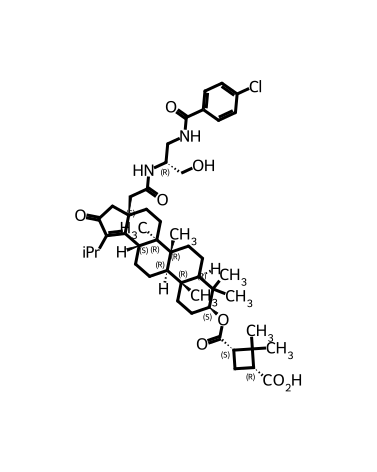 CC(C)C1=C2[C@H]3CC[C@@H]4[C@@]5(C)CC[C@H](OC(=O)[C@H]6C[C@@H](C(=O)O)C6(C)C)C(C)(C)[C@@H]5CC[C@@]4(C)[C@]3(C)CC[C@@]2(CC(=O)N[C@@H](CO)CNC(=O)c2ccc(Cl)cc2)CC1=O